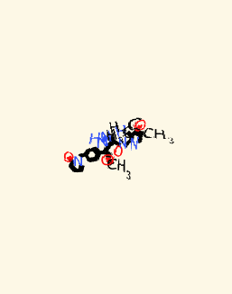 COCC(c1ccc(Cn2ccccc2=O)cc1)c1n[nH]cc1C(=O)NCc1ncc(C)c(OC)c1C